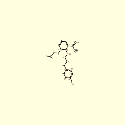 COCCN1C=CC=C(C(=O)O)C1SCCCc1ccc(F)cc1